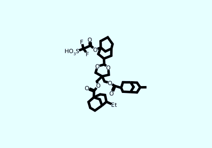 CCC1CCC2(C(=O)OCC3(COC(=O)C4CC5CC(C)CC(C5)C4)COC(C4CC5CCCC(OC(=O)C(F)(F)S(=O)(=O)O)(C5)C4)OC3)CCCC1C2